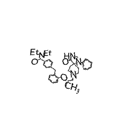 CCN(CC)C(=O)c1ccc(Cc2ccccc2OC(C)CN2CCC3(CC2)C(=O)NCN3c2ccccc2)cc1